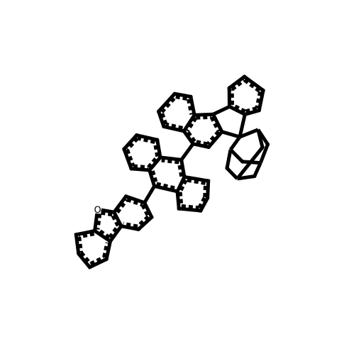 c1ccc2c(c1)-c1c(cc(-c3c4ccccc4c(-c4ccc5c(c4)oc4ccccc45)c4ccccc34)c3ccccc13)C21C2CC3CC(C2)CC1C3